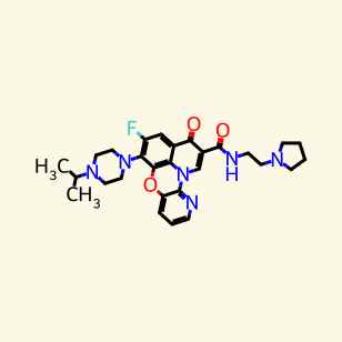 CC(C)N1CCN(c2c(F)cc3c(=O)c(C(=O)NCCN4CCCC4)cn4c3c2Oc2cccnc2-4)CC1